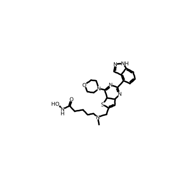 CN(CCCCC(=O)NO)CC1=CC2N=C(c3cccc4[nH]ncc34)N=C(N3CCOCC3)C2S1